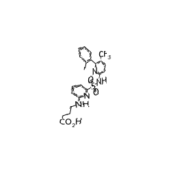 Cc1ccccc1-c1nc(NS(=O)(=O)c2cccc(NCCCC(=O)O)n2)ccc1C(F)(F)F